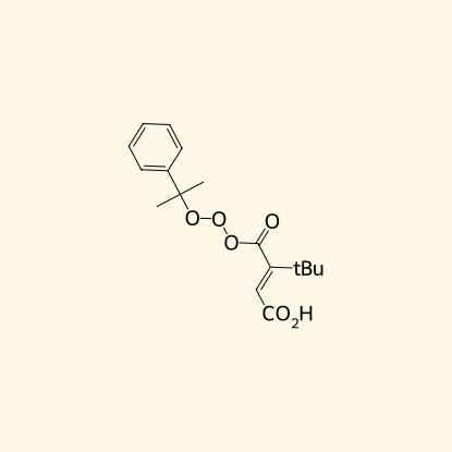 CC(C)(C)C(=CC(=O)O)C(=O)OOOC(C)(C)c1ccccc1